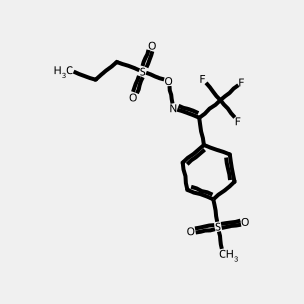 CCCS(=O)(=O)ON=C(c1ccc(S(C)(=O)=O)cc1)C(F)(F)F